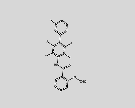 Cc1cccc(-c2c(F)c(F)c(NC(=O)c3ccccc3OC=O)c(F)c2F)c1